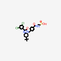 CC(C)(C)C1CCC2(CC1)N=C(c1cc(Cl)cc(Cl)c1)C(=O)N2Cc1ccc(C(=O)NCCS(=O)O)cc1